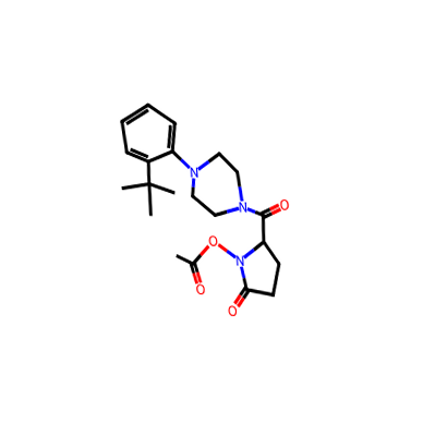 CC(=O)ON1C(=O)CCC1C(=O)N1CCN(c2ccccc2C(C)(C)C)CC1